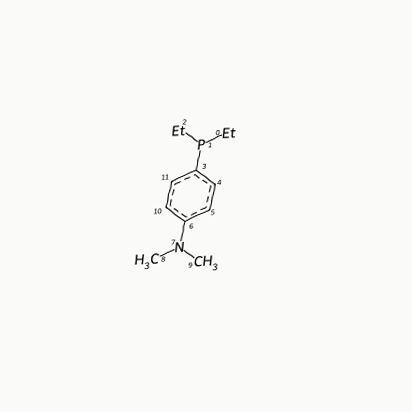 CCP(CC)c1ccc(N(C)C)cc1